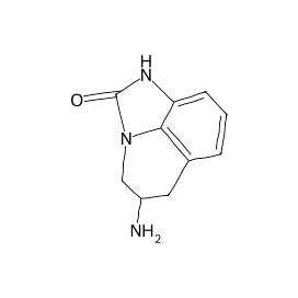 NC1Cc2cccc3[nH]c(=O)n(c23)C1